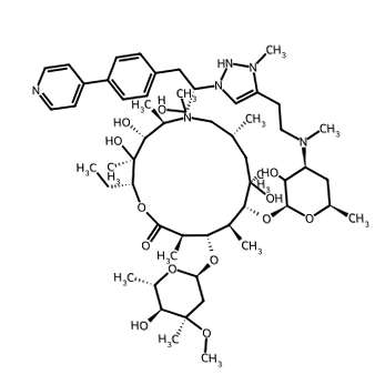 CC[C@H]1OC(=O)[C@H](C)[C@@H](O[C@H]2C[C@@](C)(OC)[C@@H](O)[C@H](C)O2)[C@H](C)[C@@H](O[C@@H]2O[C@H](C)C[C@H](N(C)CCC3=CN([C@H](CO)Cc4ccc(-c5ccncc5)cc4)NN3C)C2O)[C@](C)(O)C[C@@H](C)CN(C)[C@H](C)[C@@H](O)[C@]1(C)O